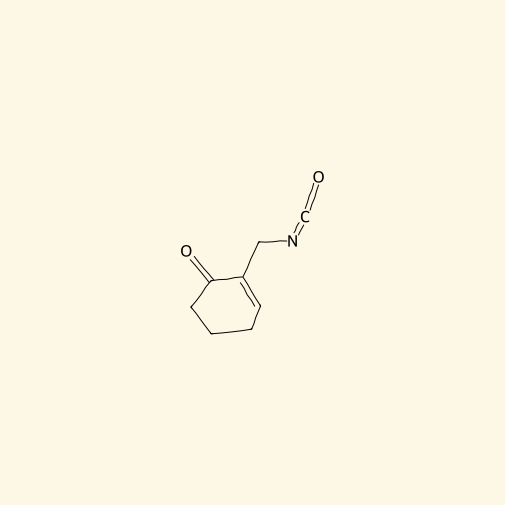 O=C=NCC1=CCCCC1=O